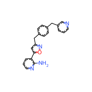 Nc1ncccc1-c1cc(Cc2ccc(Cc3cccnc3)cc2)no1